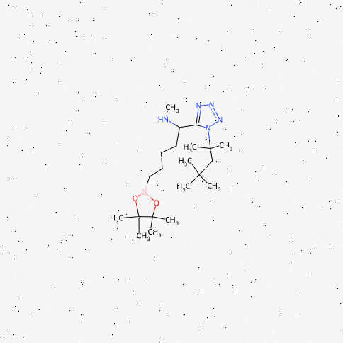 CNC(CCCCB1OC(C)(C)C(C)(C)O1)c1nnnn1C(C)(C)CC(C)(C)C